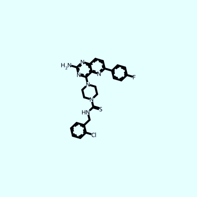 Nc1nc(N2CCN(C(=S)NCc3ccccc3Cl)CC2)c2nc(-c3ccc(F)cc3)ccc2n1